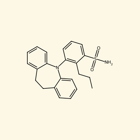 CCCc1c(N2c3ccccc3CCc3ccccc32)cccc1S(N)(=O)=O